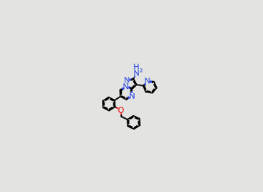 Nc1nn2cc(-c3ccccc3OCc3ccccc3)cnc2c1-c1ccccn1